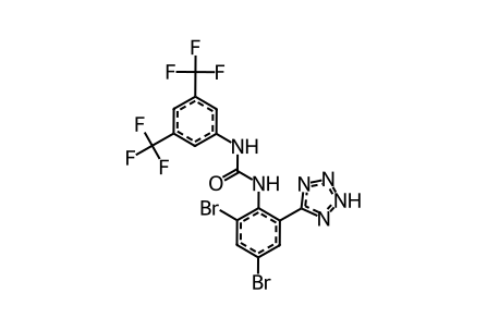 O=C(Nc1cc(C(F)(F)F)cc(C(F)(F)F)c1)Nc1c(Br)cc(Br)cc1-c1nn[nH]n1